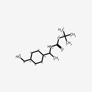 CC(NC(=O)OC(C)(C)C)C1CCC(CO)CC1